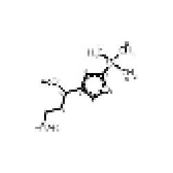 CCCCCCCCCCCCC(OC(C)=O)c1coc([Si](C)(C)C)c1